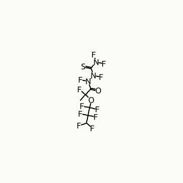 CC(F)(OC(F)(F)C(F)(F)C(F)F)C(=O)N(F)N(F)C(=S)N(F)F